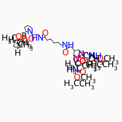 CC(C)(C)OC(=O)NCCN(CC(CC(=O)NCCCCCC(=O)NCC(=O)N1CCC[C@H]1B1OC2C[C@@H]3C[C@@H](C3(C)C)[C@]2(C)O1)CN(CCNC(=O)OC(C)(C)C)C(=O)OC(C)(C)C)C(=O)OC(C)(C)C